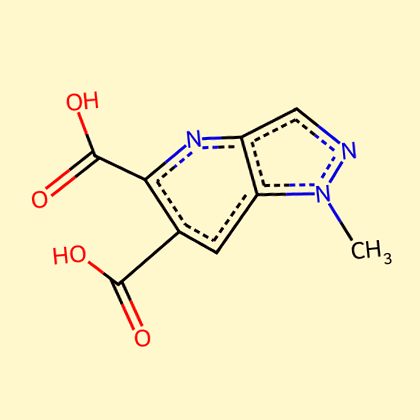 Cn1ncc2nc(C(=O)O)c(C(=O)O)cc21